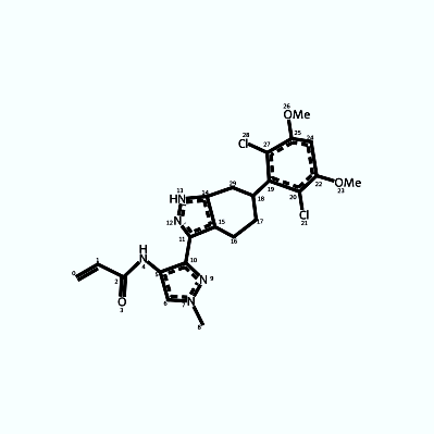 C=CC(=O)Nc1cn(C)nc1-c1n[nH]c2c1CCC(c1c(Cl)c(OC)cc(OC)c1Cl)C2